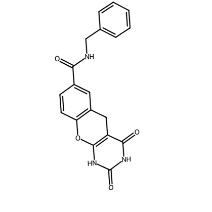 O=C(NCc1ccccc1)c1ccc2c(c1)Cc1c([nH]c(=O)[nH]c1=O)O2